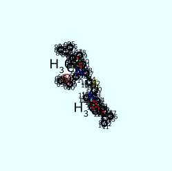 CC1(C)c2cc(-c3cc4ccccc4c4ccccc34)ccc2-c2ccc(N(c3ccc4sc5cc(-c6ccc(-c7ccc(-c8ccccc8)cc7)c(N(c7ccc(-c8cccc9c8oc8ccccc89)cc7)c7ccc8c(c7)C(C)(C)c7cc(-c9cc%10ccccc%10c%10ccccc9%10)ccc7-8)c6)ccc5c4c3)c3ccccc3-c3ccc(-c4ccccc4)cc3)cc21